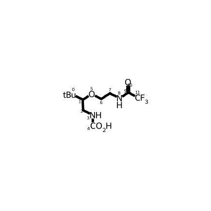 CC(C)(C)C(CNC(=O)O)OCCNC(=O)C(F)(F)F